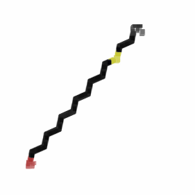 FC(F)(F)CCSCCCCCCCCCCCBr